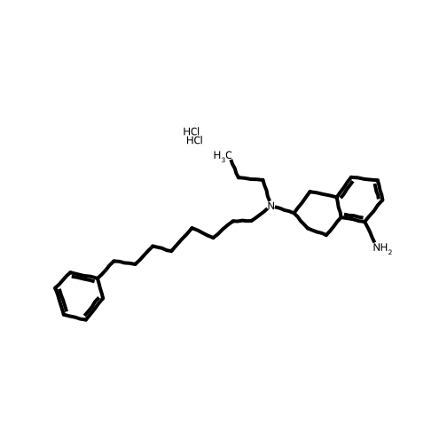 CCCN(CCCCCCCCc1ccccc1)C1CCc2c(N)cccc2C1.Cl.Cl